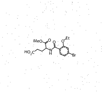 CCOc1cc(Br)ccc1C(=O)NC(CCC(=O)O)C(=O)OC